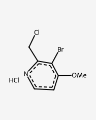 COc1ccnc(CCl)c1Br.Cl